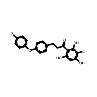 O=C(CCc1ccc(Oc2ccc(F)cc2)cc1)c1c(O)cc(O)c(Cl)c1O